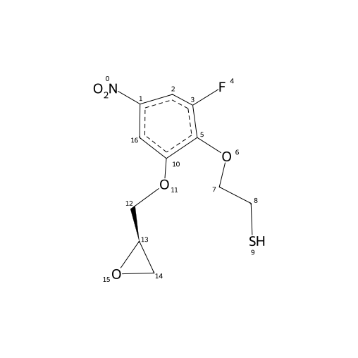 O=[N+]([O-])c1cc(F)c(OCCS)c(OC[C@H]2CO2)c1